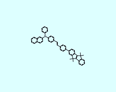 CC1(C)C2=C(c3ccccc31)C(C)(C)c1cc(-c3ccc(/C=C/c4ccc(N(c5ccccc5)c5ccc6ccccc6c5)cc4)cc3)ccc12